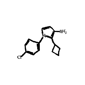 Nc1ccn(-c2ccc(Cl)cc2)c1C1CCC1